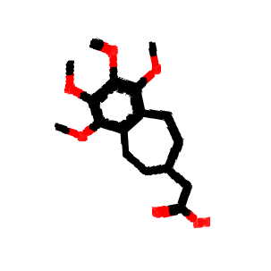 COc1c2c(c(OC)c(OC)c1OC)CCC(CC(=O)O)CC2